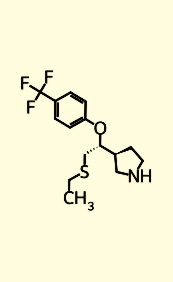 CCSC[C@H](Oc1ccc(C(F)(F)F)cc1)[C@H]1CCNC1